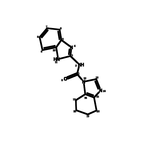 O=C(Nc1nc2ccccc2[nH]1)n1cnc2c1CC[CH]C2